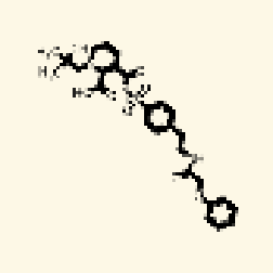 CC(C)(C)CN1CC=CC(C(=O)NS(=O)(=O)c2ccc(CCNC(=O)COc3ccccc3)cc2)=C1C(=O)O